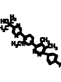 Cc1c(-c2ccc(F)cc2)nnc(N2CCN(c3cnc(C(C)(C)O)cn3)[C@H](C)C2)c1C